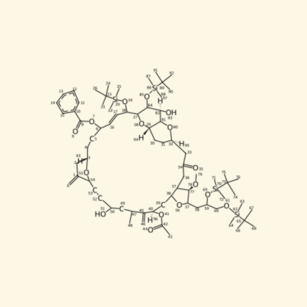 C=C1C[C@@H]2CCC(OC(=O)c3ccccc3)/C=C/C(O[Si](C)(C)C(C)(C)C)C3O[C@H]4CC[C@H](CC(=O)CC5C(C[C@@H](OC(C)=O)C(=C)C(C)CC(O)CCC1O2)OC(CC(CO[Si](C)(C)C(C)(C)C)O[Si](C)(C)C(C)(C)C)[C@@H]5OC)OC4[C@H](O)C3O[Si](C)(C)C(C)(C)C